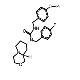 CC(C)Oc1ccc(CNC(=O)N(Cc2ccc(F)cc2)[C@H]2CCN3CCOC[C@H]3C2)cc1